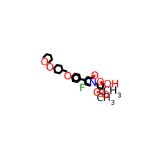 C[C@@](CCn1cc(F)c(-c2ccc(OCC3CCC(OC4CCCCO4)CC3)cc2)cc1=O)(C(=O)O)S(C)(=O)=O